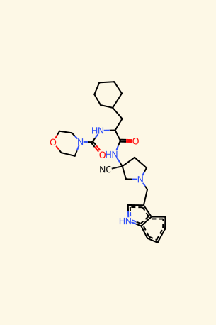 N#CC1(NC(=O)C(CC2CCCCC2)NC(=O)N2CCOCC2)CCN(Cc2c[nH]c3ccccc23)C1